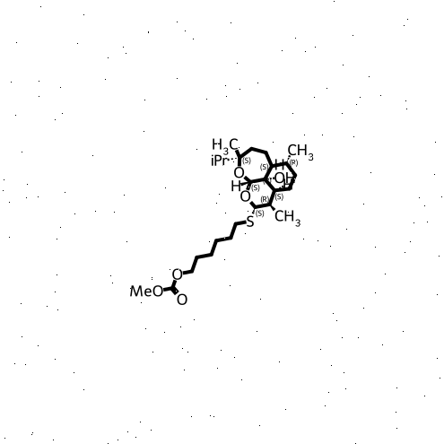 COC(=O)OCCCCCCS[C@@H]1O[C@@H]2O[C@](C)(C(C)C)CC[C@H]3[C@H](C)CC[C@@H]([C@H]1C)[C@@]23O